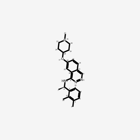 Cc1cccc([C@@H](C)Nc2nncc3ccc(OC4CCN(C)CC4)cc23)c1C